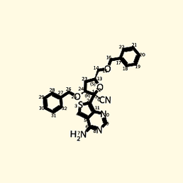 N#C[C@@]1(c2scc3c(N)ncnc23)O[C@H](COCc2ccccc2)C[C@H]1OCc1ccccc1